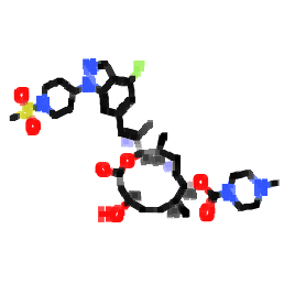 C/C(=C\c1cc(F)c2cnn(C3CCN(S(C)(=O)=O)CC3)c2c1)[C@H]1OC(=O)C[C@H](O)CC[C@H](C)[C@@H](OC(=O)N2CCN(C)CC2)/C=C/[C@@H]1C